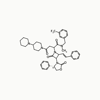 CN(Cc1cccc(C(F)(F)F)c1)C(=O)C(CC(=O)N1CCC(N2CCCCC2)CC1)N1C(=O)C(N2C(=O)OC[C@@H]2c2ccccc2)C1C=Cc1ccccc1